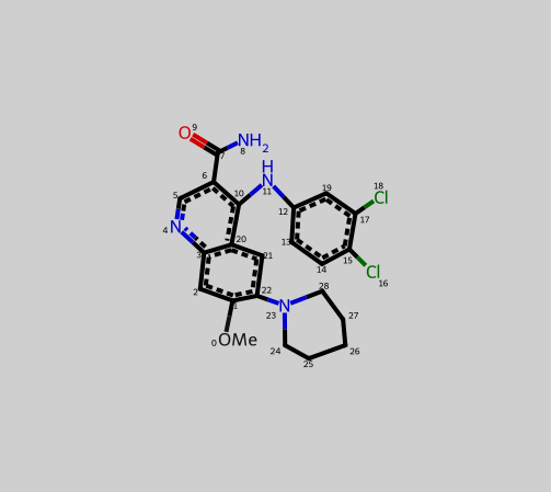 COc1cc2ncc(C(N)=O)c(Nc3ccc(Cl)c(Cl)c3)c2cc1N1CCCCC1